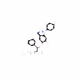 CC(=O)NC(C)C(Oc1cc2cnn(-c3ccc(F)cc3)c2cc1Cl)c1ccc(F)cc1